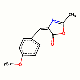 CCCCOc1ccc(C=C2N=C(C)OC2=O)cc1